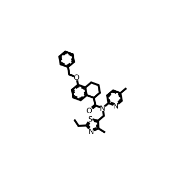 CCc1nc(C)c(CN(C(=O)C2CCCc3c(OCc4ccccc4)cccc32)c2ccc(C)cn2)s1